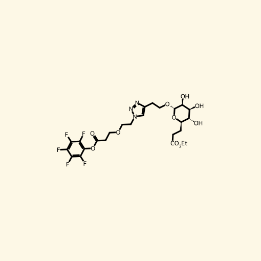 CCOC(=O)CC[C@H]1O[C@H](OCCc2cn(CCOCCC(=O)Oc3c(F)c(F)c(F)c(F)c3F)nn2)[C@@H](O)[C@@H](O)[C@@H]1O